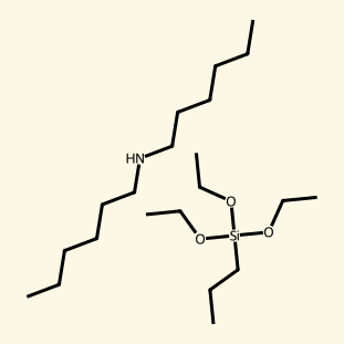 CCCCCCNCCCCCC.CCC[Si](OCC)(OCC)OCC